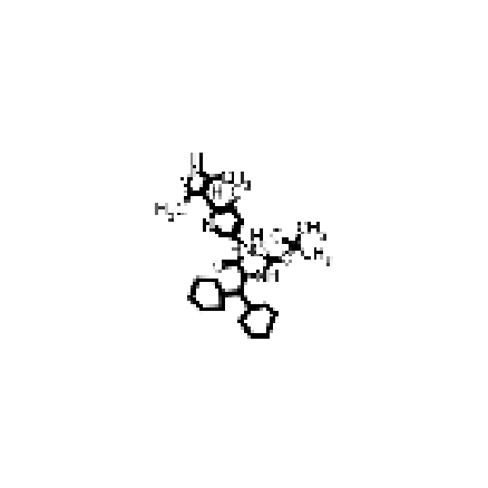 Cc1cc(NC(=O)[C@@H](NC(=O)OC(C)(C)C)C(C2CCCCC2)C2CCCCC2)cnc1-c1c(C)n[nH]c1C